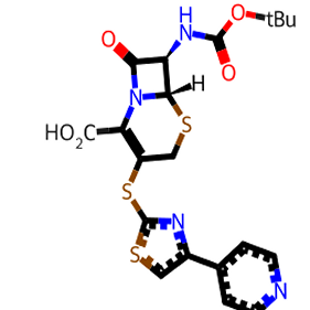 CC(C)(C)OC(=O)N[C@@H]1C(=O)N2C(C(=O)O)=C(Sc3nc(-c4ccncc4)cs3)CS[C@@H]12